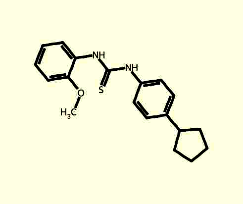 COc1ccccc1NC(=S)Nc1ccc(C2CCCC2)cc1